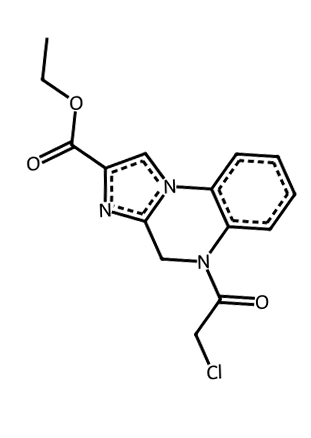 CCOC(=O)c1cn2c(n1)CN(C(=O)CCl)c1ccccc1-2